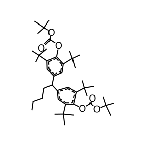 CCCCC(c1cc(C(C)(C)C)c(OC(=O)OC(C)(C)C)c(C(C)(C)C)c1)c1cc(C(C)(C)C)c(OC(=O)OC(C)(C)C)c(C(C)(C)C)c1